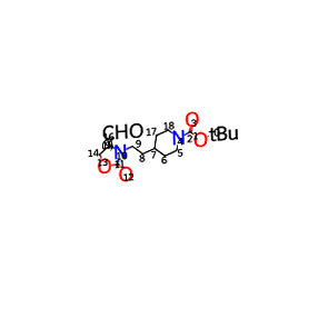 CC(C)(C)OC(=O)N1CCC(CCN2C(=O)OC[C@H]2C=O)CC1